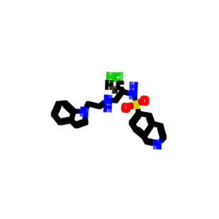 CC(CNCCn1ccc2ccccc21)NS(=O)(=O)c1ccc2cnccc2c1.Cl